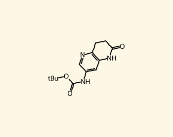 CC(C)(C)OC(=O)Nc1cnc2c(c1)NC(=O)CC2